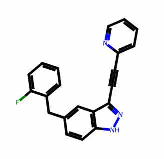 Fc1ccccc1Cc1ccc2[nH]nc(C#Cc3ccccn3)c2c1